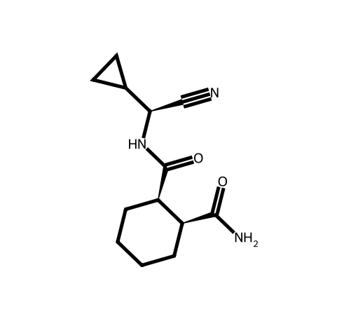 N#C[C@@H](NC(=O)[C@@H]1CCCC[C@@H]1C(N)=O)C1CC1